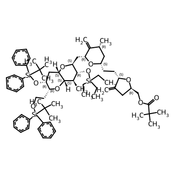 C=C1C[C@H](COC(=O)C(C)(C)C)O[C@H]1CC[C@H]1C[C@@H](C)C(=C)[C@@H](C[C@@H]2O[C@H]3C[C@@H](O[Si](c4ccccc4)(c4ccccc4)C(C)(C)C)[C@@H](CCO[Si](c4ccccc4)(c4ccccc4)C(C)(C)C)O[C@H]3[C@H](C)[C@H]2O[Si](CC)(CC)CC)O1